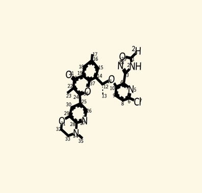 [2H]C1NC(c2nc(Cl)ccc2O[C@H](C)c2cc(C)cc3c(=O)c(C)c(-c4cnc5c(c4)OCCN5C)oc23)=NO1